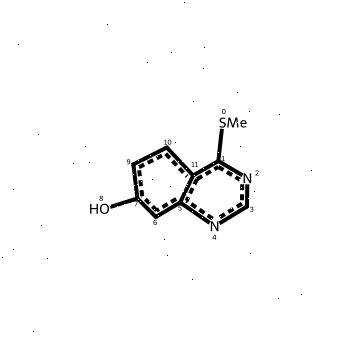 CSc1ncnc2cc(O)ccc12